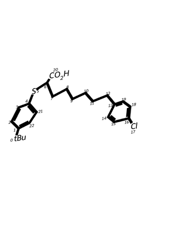 CC(C)(C)c1ccc(SC(CCCCCCc2ccc(Cl)cc2)C(=O)O)cc1